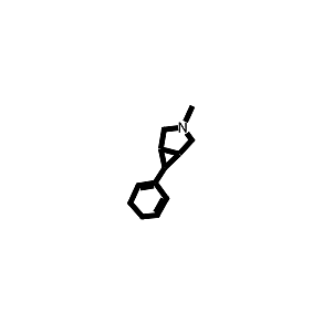 CN1CC2C(C1)C2C1=CCCC=C1